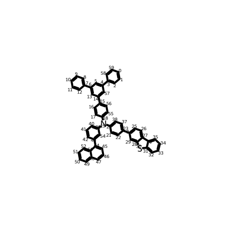 c1ccc(-c2cc(-c3ccccc3)cc(-c3ccc(N(c4ccc(-c5ccc6c(c5)sc5ccccc56)cc4)c4cccc(-c5cccc6ccccc56)c4)cc3)c2)cc1